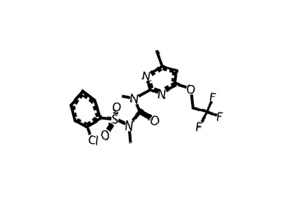 Cc1cc(OCC(F)(F)F)nc(N(C)C(=O)N(C)S(=O)(=O)c2ccccc2Cl)n1